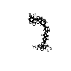 CC(Oc1cc(-c2cnn(C3CC4(C3)CN(C(=O)OC(C)(C)C)C4)c2)cnc1N)c1c(Cl)ccc(F)c1Cl